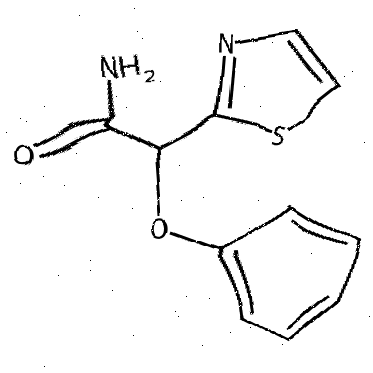 NC(=O)C(Oc1ccccc1)c1nccs1